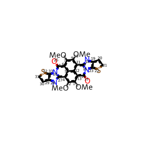 COc1c(OC)c2c3c(c(OC)c(OC)c4c3c1c(=O)n1c4nc3ccsc31)c(=O)n1c2nc2ccsc21